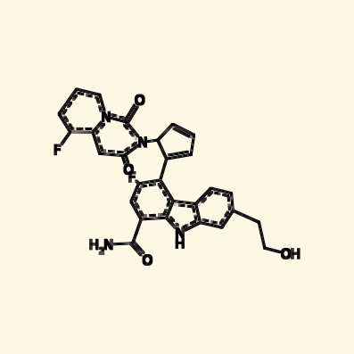 NC(=O)c1cc(F)c(C2=CC=CC2n2c(=O)cc3c(F)cccn3c2=O)c2c1[nH]c1cc(CCO)ccc12